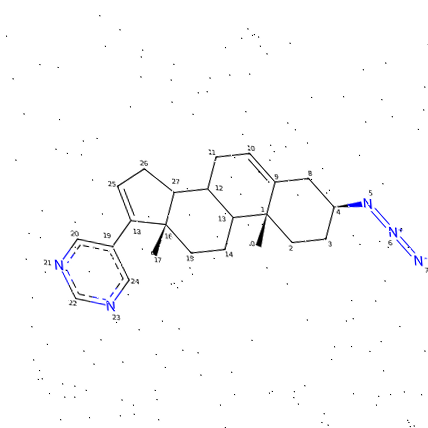 C[C@]12CC[C@H](N=[N+]=[N-])CC1=CCC1C2CC[C@]2(C)C(c3cncnc3)=CCC12